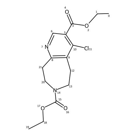 CCOC(=O)c1cnc2c(c1Cl)CCN(C(=O)OCC)CC2